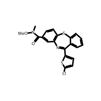 CON(C)C(=O)c1ccc2c(c1)N=C(c1ccc(Cl)s1)c1ccccc1S2